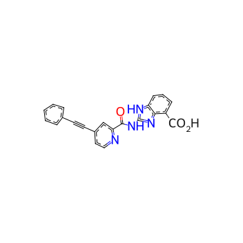 O=C(Nc1nc2c(C(=O)O)cccc2[nH]1)c1cc(C#Cc2ccccc2)ccn1